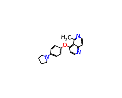 Cc1nccc2nccc(Oc3ccc(N4CCCC4)cc3)c12